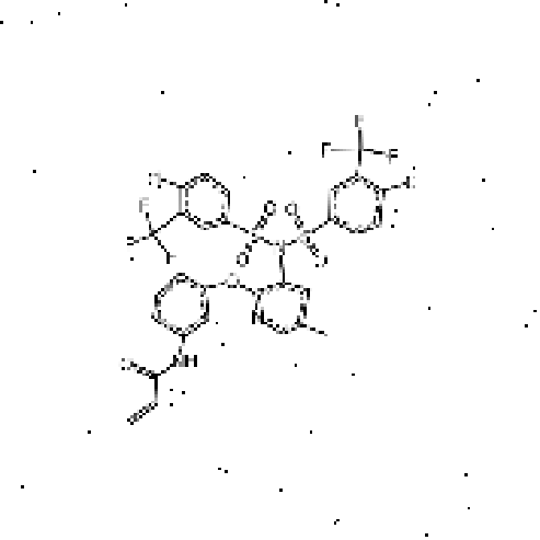 C=CC(=O)Nc1cccc(Oc2ncc(C)cc2N(S(=O)(=O)c2ccc(Cl)c(C(F)(F)F)c2)S(=O)(=O)c2ccc(Cl)c(C(F)(F)F)c2)c1